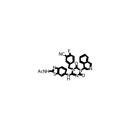 CC(=O)Nc1nc2ccc(Nc3nc(=O)n(-c4cncc5ccccc45)c(=O)n3Cc3ccc(F)c(C#N)c3)cc2s1